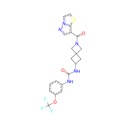 O=C(Nc1cccc(OC(F)(F)F)c1)NC1CC2(C1)CN(C(=O)c1cnn3ccsc13)C2